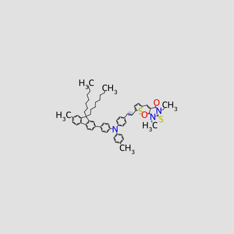 CCCCCCCCC1(CCCCCCCC)c2cc(C)ccc2-c2ccc(-c3ccc(N(c4ccc(C)cc4)c4ccc(/C=C/c5ccc(C=C6C(=O)N(CC)C(=S)N(CC)C6=O)s5)cc4)cc3)cc21